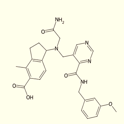 COc1cccc(CNC(=O)c2ncncc2CN(CC(N)=O)C2CCc3c2ccc(C(=O)O)c3C)c1